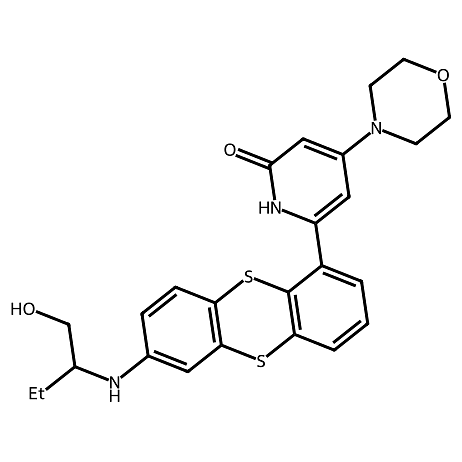 CCC(CO)Nc1ccc2c(c1)Sc1cccc(-c3cc(N4CCOCC4)cc(=O)[nH]3)c1S2